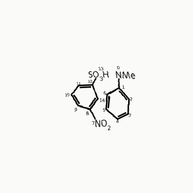 CNc1ccccc1.O=[N+]([O-])c1cccc(S(=O)(=O)O)c1